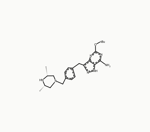 CCCCOc1nc(N)c2[nH]nc(Cc3ccc(CN4C[C@@H](C)N[C@@H](C)C4)cc3)c2n1